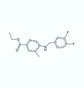 CCOC(=O)c1ccc(NCc2ccc(F)c(F)c2)c(C)c1